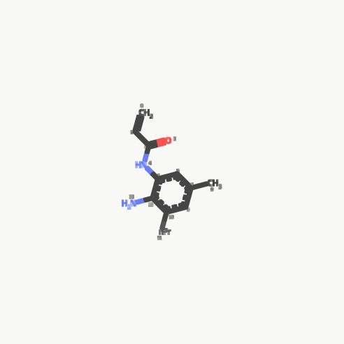 C=CC(=O)Nc1cc(C)cc(CCC)c1N